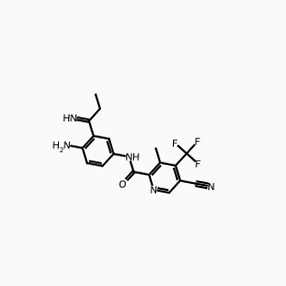 CCC(=N)c1cc(NC(=O)c2ncc(C#N)c(C(F)(F)F)c2C)ccc1N